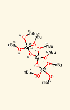 CCCCO[Si](OCCCC)(OCCCC)[O][Zr]([O]CCCC)([O]CCCC)[O][Si](OCCCC)(OCCCC)OCCCC